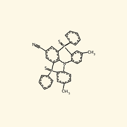 Cc1ccc2c(c1)P(=S)(c1ccccc1)c1cc(C#N)cc3c1N2c1ccc(C)cc1P3(=S)c1ccccc1